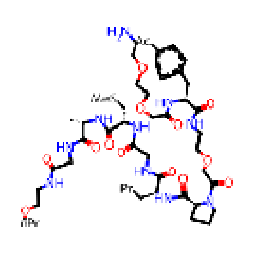 CCCOCCNC(=O)CNC(=O)[C@H](C)NC(=O)[C@H](CSC)NC(=O)CNC(=O)[C@H](CC(C)C)NC(=O)[C@@H]1CCCN1C(=O)COCCNC(=O)[C@H](Cc1ccc(C(C)=O)cc1)NC(=O)COCCOCCN